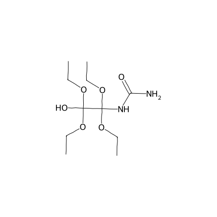 CCOC(O)(OCC)C(NC(N)=O)(OCC)OCC